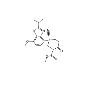 COC(=O)C1CC(C#N)(c2ccc(OC)c3oc(C(C)C)nc23)CCC1=O